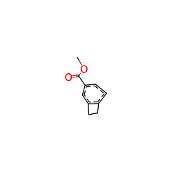 COC(=O)c1ccc2c(c1)CC2